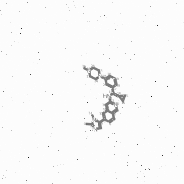 Cc1ncc(-c2ccc3cnc(NC(=C4CC4)c4cccc(N5CCN(C)CC5)c4)cc3c2)n1C